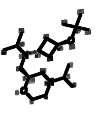 CC(C)N1CCO[C@@H](CN(C(C)C)[C@H]2C[C@H](OC(C)(C)C)C2)C1